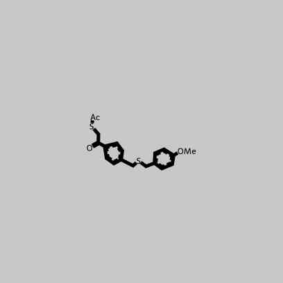 COc1ccc(CSCc2ccc(C(=O)CSC(C)=O)cc2)cc1